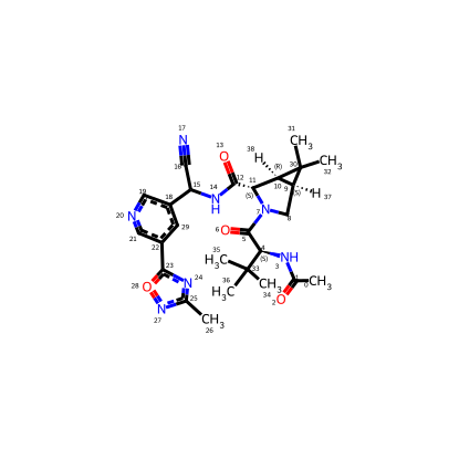 CC(=O)N[C@H](C(=O)N1C[C@H]2[C@@H]([C@H]1C(=O)NC(C#N)c1cncc(-c3nc(C)no3)c1)C2(C)C)C(C)(C)C